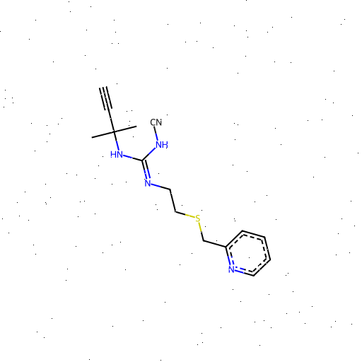 C#CC(C)(C)N/C(=N/CCSCc1ccccn1)NC#N